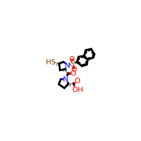 O=C(O)[C@@H]1CCCN1C(=O)[C@@H]1C[C@H](S)CN1S(=O)(=O)c1ccc2ccccc2c1